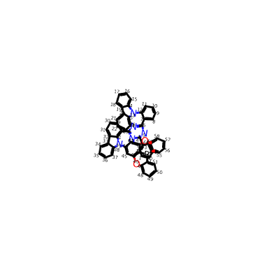 c1ccc(-c2nc(-c3ccccc3-n3c4ccccc4c4ccccc43)nc(-c3cccc4c5ccccc5n(-c5cc6c7c(c5)Oc5ccccc5B7c5ccccc5O6)c34)n2)cc1